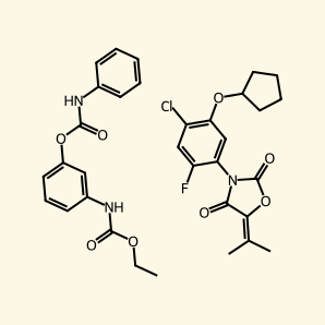 CC(C)=C1OC(=O)N(c2cc(OC3CCCC3)c(Cl)cc2F)C1=O.CCOC(=O)Nc1cccc(OC(=O)Nc2ccccc2)c1